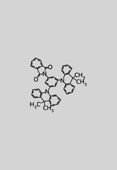 CC1(C)c2ccccc2N(c2cc(N3C(=O)c4ccccc4C3=O)cc(N3c4ccccc4C(C)(C)c4ccccc43)c2)c2ccccc21